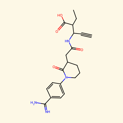 C#CC(NC(=O)CC1CCCN(c2ccc(C(=N)N)cc2)C1=O)C(CC)C(=O)O